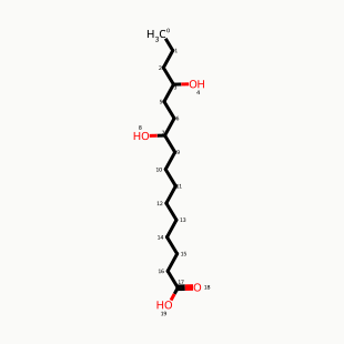 CCCC(O)CCC(O)CCCCCCCCC(=O)O